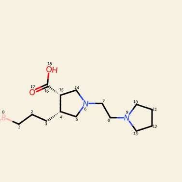 BCCC[C@H]1CN(CCN2CCCC2)C[C@H]1C(=O)O